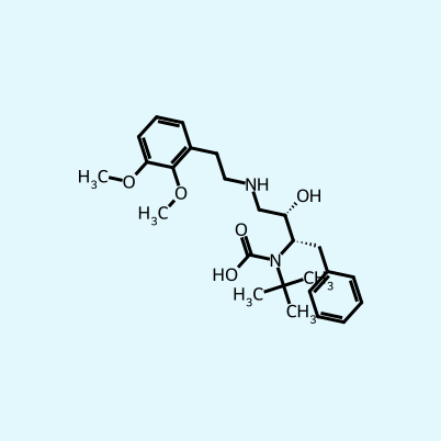 COc1cccc(CCNC[C@H](O)[C@H](Cc2ccccc2)N(C(=O)O)C(C)(C)C)c1OC